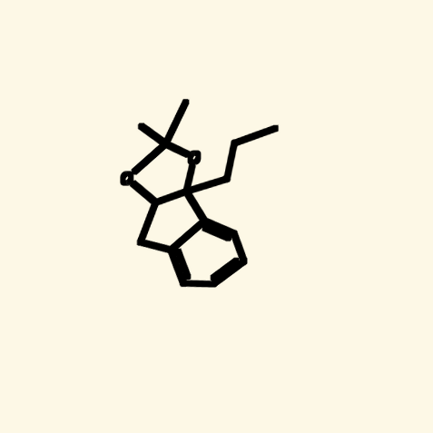 CCCC12OC(C)(C)OC1Cc1ccccc12